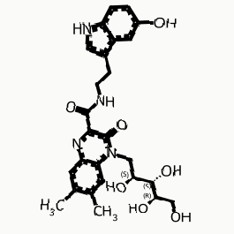 Cc1cc2nc(C(=O)NCCc3c[nH]c4ccc(O)cc34)c(=O)n(C[C@H](O)[C@H](O)[C@H](O)CO)c2cc1C